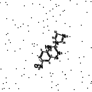 O=[N+]([O-])c1ccc2c(c1)SN=C(n1ccnc1)N2